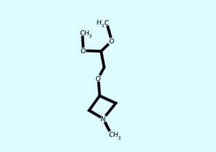 COC(COC1CN(C)C1)OC